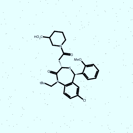 COc1ccccc1[C@@H]1S[C@@H](CC(=O)N2CCCC(C(=O)O)C2)C(=O)N(CC(C)(C)C)c2ccc(Cl)cc21